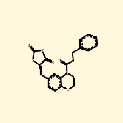 O=C1NC(=S)SC1=Cc1ccc2c(c1)N(C(=O)CCc1ccccc1)CCO2